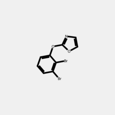 Brc1cccc(Oc2ncco2)c1Br